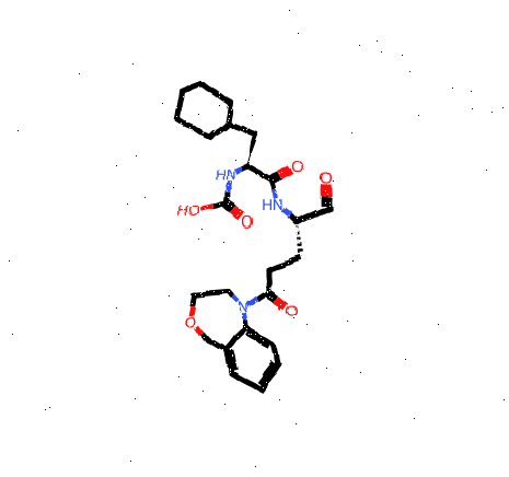 O=C[C@H](CCC(=O)N1CCOCc2ccccc21)NC(=O)[C@H](CC1CCCCC1)NC(=O)O